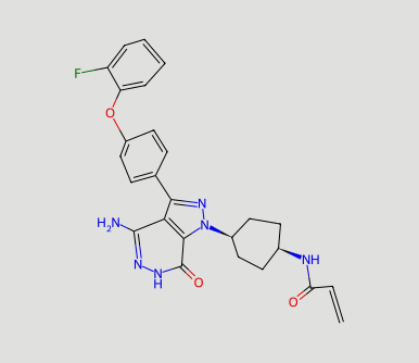 C=CC(=O)N[C@H]1CC[C@@H](n2nc(-c3ccc(Oc4ccccc4F)cc3)c3c(N)n[nH]c(=O)c32)CC1